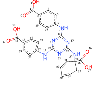 O=C(O)c1ccc(Nc2nc(Nc3ccc(C(=O)O)cc3)nc(NC3(C(=O)O)C=CC=CC3)n2)cc1